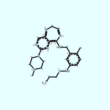 Cc1ccc(NSCCC(F)(F)F)cc1CNC1=c2nc(N3CCN(C)CC3)ncc2=NCC=N1